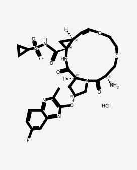 Cc1nc2ccc(F)cc2nc1O[C@@H]1C[C@H]2C(=O)N[C@]3(C(=O)NS(=O)(=O)C4CC4)C[C@H]3C=CCCCCC[C@H](N)C(=O)N2C1.Cl